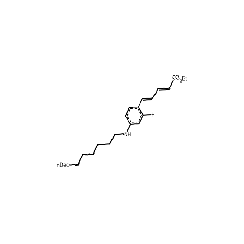 CCCCCCCCCCCCCCCCNc1ccc(C=CC=CC(=O)OCC)c(F)c1